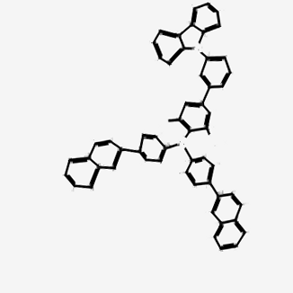 Cc1cc(-c2cccc(-n3c4ccccc4c4ccccc43)c2)cc(C)c1N(c1ccc(-c2ccc3ccccc3c2)cc1)c1ccc(-c2ccc3ccccc3c2)cc1